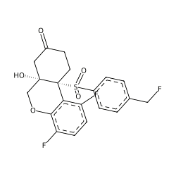 O=C1CC[C@@]2(S(=O)(=O)c3ccc(CF)cc3)c3c(F)ccc(F)c3OC[C@@]2(O)C1